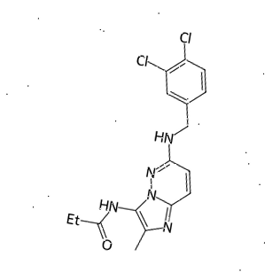 CCC(=O)Nc1c(C)nc2ccc(NCc3ccc(Cl)c(Cl)c3)nn12